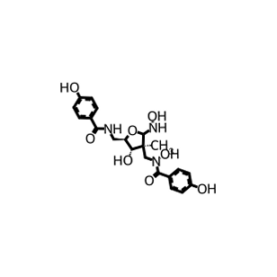 C[C@@]1(CN(O)C(=O)c2ccc(O)cc2)C(NO)O[C@H](CNC(=O)c2ccc(O)cc2)[C@H]1O